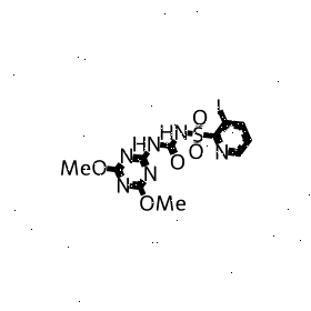 COc1nc(NC(=O)NS(=O)(=O)c2ncccc2I)nc(OC)n1